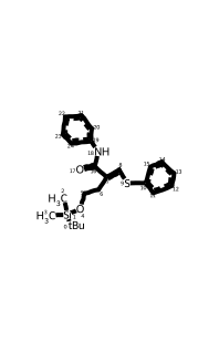 CC(C)(C)[Si](C)(C)OCC/C(=C\Sc1ccccc1)C(=O)Nc1ccccc1